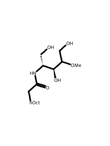 CCCCCCCCCC(=O)N[C@H](CO)[C@H](O)C(CO)OC